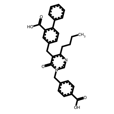 CCCCc1ncn(Cc2ccc(C(=O)O)cc2)c(=O)c1Cc1ccc(-c2ccccc2)c(C(=O)O)c1